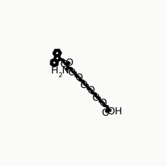 NC(COCCOCCOCCOCCOCCOCCC(=O)O)C(=O)OCC1c2ccccc2-c2ccccc21